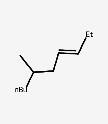 [CH2]CC=CCC(C)CCC[CH2]